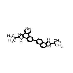 CC(C)c1nc2ccc3cc(-c4ccc5c(c4)c4cnncc4c4nc(C(C)C)[nH]c54)ccc3c2[nH]1